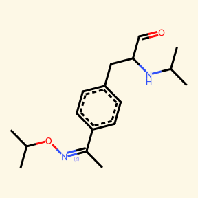 C/C(=N/OC(C)C)c1ccc(CC(C=O)NC(C)C)cc1